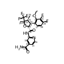 COc1c([C@H]2[C@H](C(=O)Nc3cc(C(N)=O)ccn3)O[C@](C)(C(F)(F)F)[C@H]2C)ccc(F)c1F